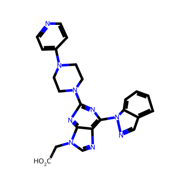 O=C(O)Cn1cnc2c(-n3ncc4ccccc43)nc(N3CCN(c4ccncc4)CC3)nc21